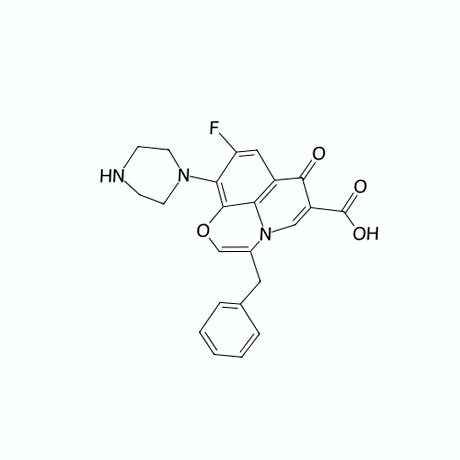 O=C(O)c1cn2c3c(c(N4CCNCC4)c(F)cc3c1=O)OC=C2Cc1ccccc1